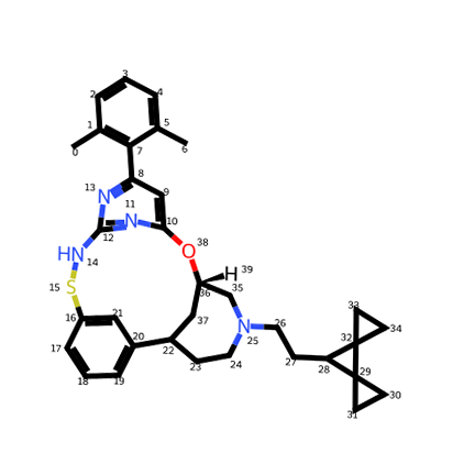 Cc1cccc(C)c1-c1cc2nc(n1)NSc1cccc(c1)C1CCN(CCC3C4(CC4)C34CC4)C[C@H](C1)O2